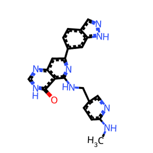 CNc1ccc(CNc2nc(-c3ccc4cn[nH]c4c3)cc3nc[nH]c(=O)c23)cn1